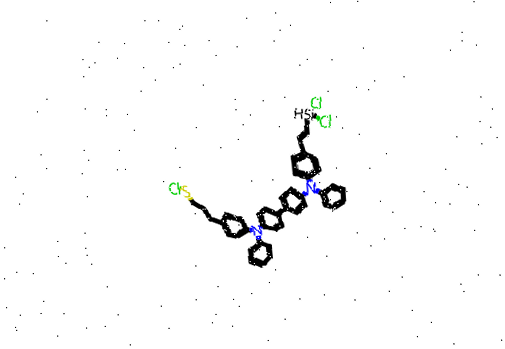 ClSCCCc1ccc(N(c2ccccc2)c2ccc(-c3ccc(N(c4ccccc4)c4ccc(CCC[SiH](Cl)Cl)cc4)cc3)cc2)cc1